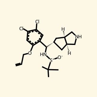 C=CCOc1cc(Cl)c(Cl)cc1C(N[S+]([O-])C(C)(C)C)[C@@H]1C[C@H]2CNC[C@H]2C1